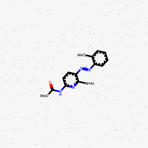 COC(=O)Nc1ccc(/N=N/c2ccccc2OC)c(NC(C)=O)n1